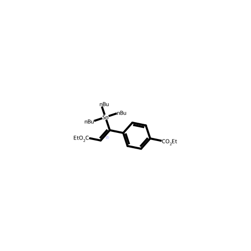 CCC[CH2][Sn]([CH2]CCC)([CH2]CCC)/[C](=C\C(=O)OCC)c1ccc(C(=O)OCC)cc1